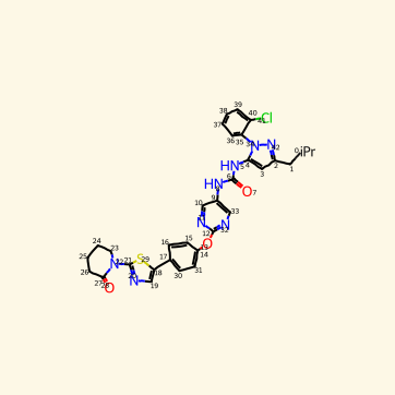 CC(C)Cc1cc(NC(=O)Nc2cnc(Oc3ccc(-c4cnc(N5CCCCC5=O)s4)cc3)nc2)n(-c2ccccc2Cl)n1